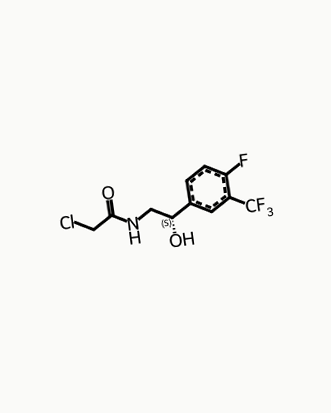 O=C(CCl)NC[C@@H](O)c1ccc(F)c(C(F)(F)F)c1